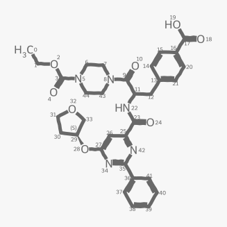 CCOC(=O)N1CCN(C(=O)C(Cc2ccc(C(=O)O)cc2)NC(=O)c2cc(O[C@H]3CCOC3)nc(-c3ccccc3)n2)CC1